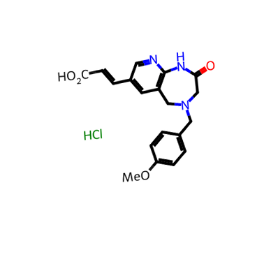 COc1ccc(CN2CC(=O)Nc3ncc(C=CC(=O)O)cc3C2)cc1.Cl